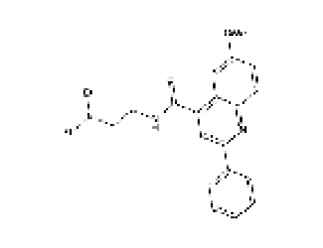 CCN(CC)CCNC(=O)c1cc(-c2ccccc2)nc2ccc(OC)cc12